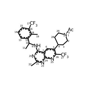 CC(=O)N1CCC(c2cc3c(NC(C)c4cccc(C(F)(F)F)c4C)nc(C)nc3nc2C(F)(F)F)CC1